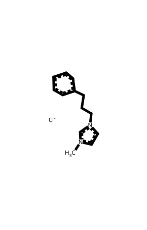 C[n+]1ccn(CCCc2ccccc2)c1.[Cl-]